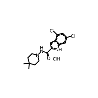 CC1(C)CCN(NC(=O)c2cc3c(Cl)cc(Cl)cc3[nH]2)CC1.Cl